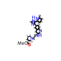 COC(=O)[C@@H]1CCCN(CCNc2cnc3ccc(-c4nc[nH]c4-c4cccc(C)n4)cc3c2)C1